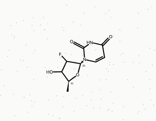 C[C@@H]1O[C@H](n2ccc(=O)[nH]c2=O)C(F)C1O